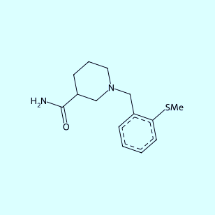 CSc1ccccc1CN1CCCC(C(N)=O)C1